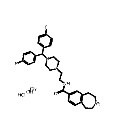 Cl.Cl.Cl.O=C(NCCN1CCN(C(c2ccc(F)cc2)c2ccc(F)cc2)CC1)c1ccc2c(c1)CCNCC2